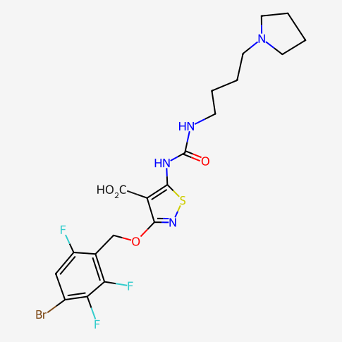 O=C(NCCCCN1CCCC1)Nc1snc(OCc2c(F)cc(Br)c(F)c2F)c1C(=O)O